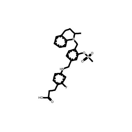 CC1CCc2ccccc2N1Cc1ccc(CNc2ccc(CCC(=O)O)c(F)c2)cc1OS(C)(=O)=O